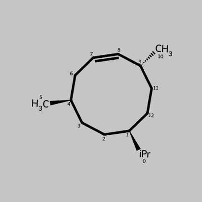 CC(C)[C@H]1CC[C@@H](C)C/C=C\[C@H](C)CC1